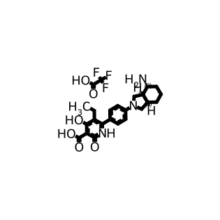 CCc1c(-c2ccc(N3C[C@H]4CCC[C@@H](N)[C@H]4C3)cc2)[nH]c(=O)c(C(=O)O)c1O.O=C(O)C(F)(F)F